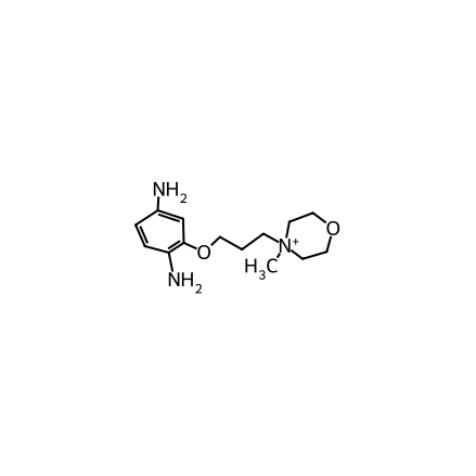 C[N+]1(CCCOc2cc(N)ccc2N)CCOCC1